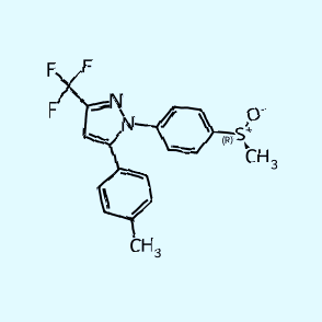 Cc1ccc(-c2cc(C(F)(F)F)nn2-c2ccc([S@+](C)[O-])cc2)cc1